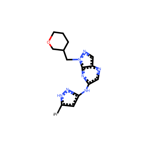 CC(C)c1cc(Nc2cnc3cnn(CC4CCCOC4)c3n2)n[nH]1